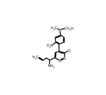 C=CCC(N)c1cc(-c2ccc(N(C)C(=O)O)cc2[N+](=O)[O-])c(Cl)nn1